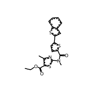 CCOC(=O)c1sc(N(C)C(=O)c2ccc(-c3cc4ccccc4s3)s2)nc1C